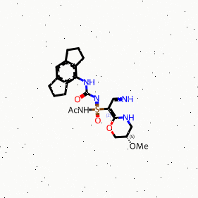 CO[C@H]1CN/C(=C(\C=N)S(=O)(=NC(=O)Nc2c3c(cc4c2CCC4)CCC3)NC(C)=O)OC1